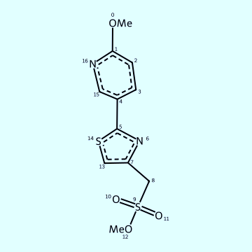 COc1ccc(-c2nc(CS(=O)(=O)OC)cs2)cn1